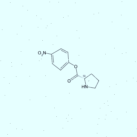 O=C(Oc1ccc([N+](=O)[O-])cc1)[C@@H]1CCCN1